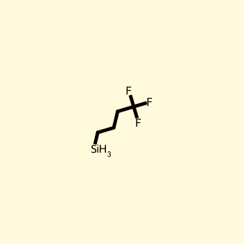 FC(F)(F)CCC[SiH3]